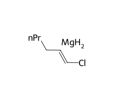 CCCC/C=C/Cl.[MgH2]